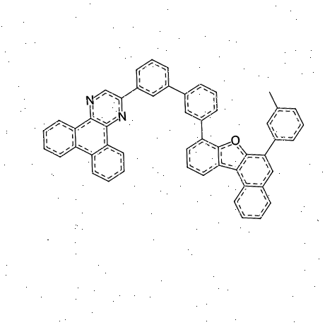 Cc1cccc(-c2cc3ccccc3c3c2oc2c(-c4cccc(-c5cccc(-c6cnc7c8ccccc8c8ccccc8c7n6)c5)c4)cccc23)c1